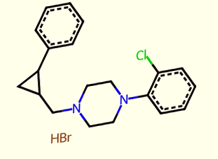 Br.Clc1ccccc1N1CCN(CC2CC2c2ccccc2)CC1